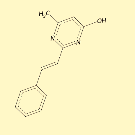 Cc1cc(O)nc(C=Cc2ccccc2)n1